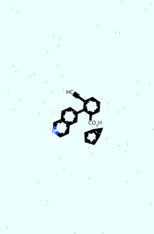 C#Cc1cccc(C(=O)O)c1-c1ccc2cnccc2c1.c1cc2cc-2c1